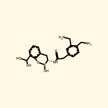 NCc1ccc(CC(=O)N[C@H]2Cc3cccc(C(O)O)c3OB2O)cc1CN